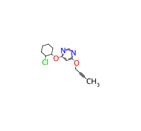 CC#CCOc1cc(OC2CCCCC2Cl)ncn1